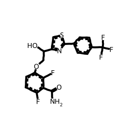 NC(=O)c1c(F)ccc(OCC(O)c2csc(-c3ccc(C(F)(F)F)cc3)n2)c1F